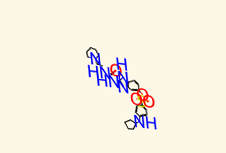 O=C(NCCN1CCCCC1)Nc1nc2cc(OS(=O)(=O)c3ccc(NC4CCCC4)cc3)ccc2[nH]1